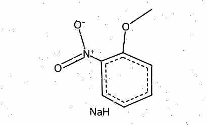 COc1ccccc1[N+](=O)[O-].[NaH]